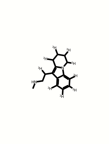 [2H]c1c([2H])c([2H])c2c(c1[2H])c(C([2H])CNC)c1n2C([2H])C([2H])C([2H])C1[2H]